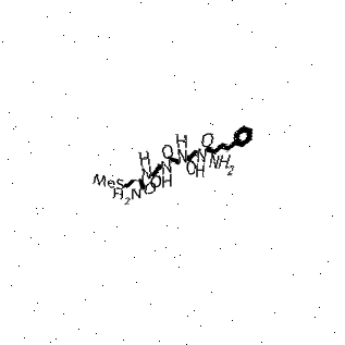 CSCC[C@H](NC(=O)CNC(=O)CNC(=O)CNC(=O)C(N)CCc1ccccc1)C(N)=O